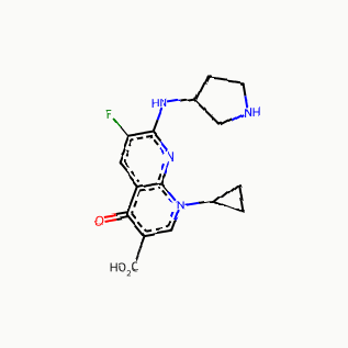 O=C(O)c1cn(C2CC2)c2nc(NC3CCNC3)c(F)cc2c1=O